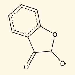 [O]C1Oc2ccccc2C1=O